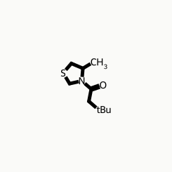 CC1CSCN1C(=O)CC(C)(C)C